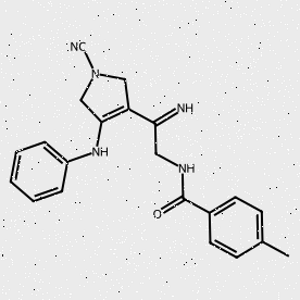 Cc1ccc(C(=O)NCC(=N)C2=C(Nc3ccccc3)CN(C#N)C2)cc1